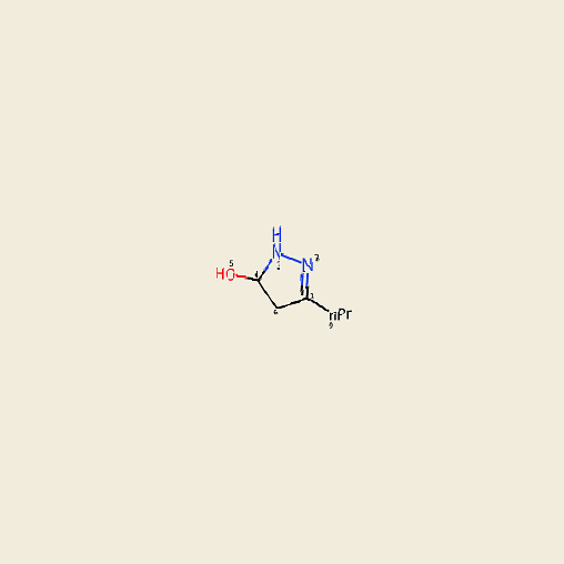 CCCC1=NNC(O)C1